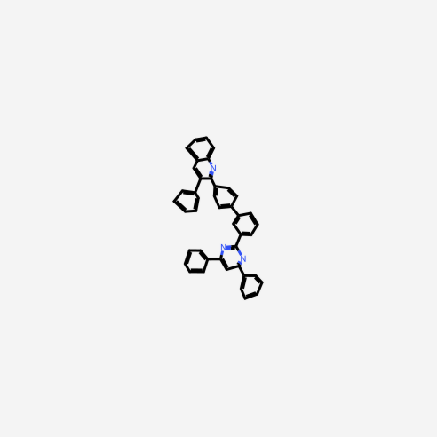 c1ccc(-c2cc(-c3ccccc3)nc(-c3cccc(-c4ccc(-c5nc6ccccc6cc5-c5ccccc5)cc4)c3)n2)cc1